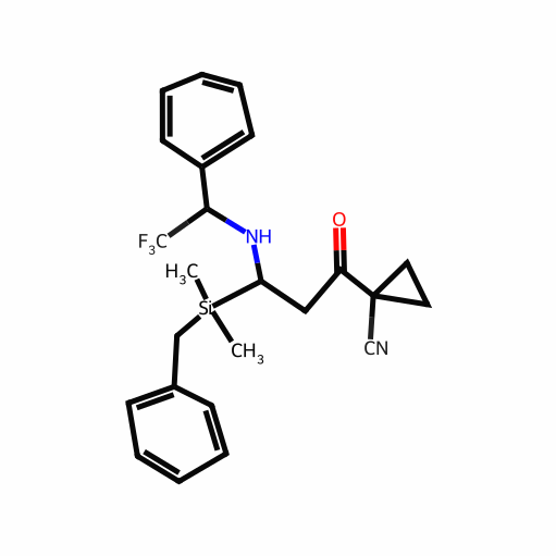 C[Si](C)(Cc1ccccc1)C(CC(=O)C1(C#N)CC1)NC(c1ccccc1)C(F)(F)F